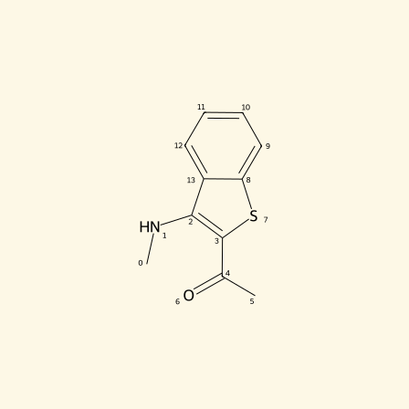 CNc1c(C(C)=O)sc2ccccc12